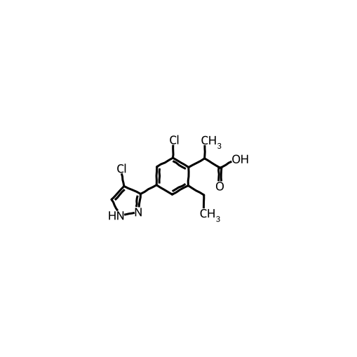 CCc1cc(-c2n[nH]cc2Cl)cc(Cl)c1C(C)C(=O)O